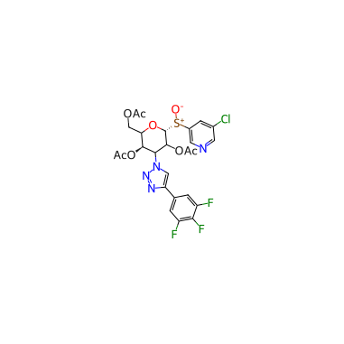 CC(=O)OCC1O[C@H]([S+]([O-])c2cncc(Cl)c2)C(OC(C)=O)C(n2cc(-c3cc(F)c(F)c(F)c3)nn2)[C@H]1OC(C)=O